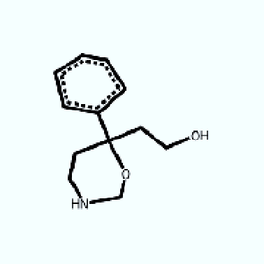 OCCC1(c2ccccc2)CCNCO1